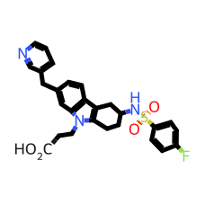 O=C(O)CCn1c2c(c3ccc(Cc4cccnc4)cc31)CC(NS(=O)(=O)c1ccc(F)cc1)CC2